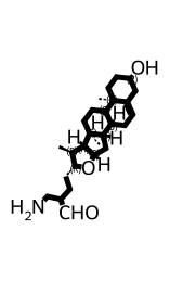 C[C@H]1[C@H]2[C@H](C[C@H]3[C@@H]4CC=C5C[C@H](O)CC[C@]5(C)[C@H]4CC[C@]23C)O[C@@H]1CCC(C=O)CN